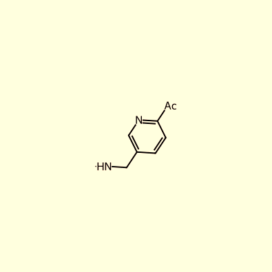 CC(=O)c1ccc(C[NH])cn1